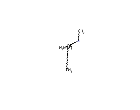 CCCCCCCC/C=C\CCCCCCCC(=O)OC(CCN)NCCCCCCCCCCCCCCCCCC